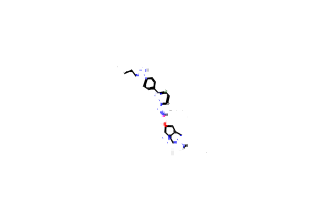 C=CCCN(CCC)c1ccc(-c2nc(/N=C(\C)OC3CC4CN(C(=C)C(C)C)CC4(N)C3)c(C)cc2Cl)cc1